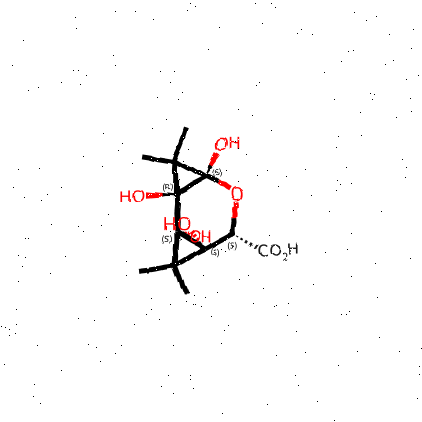 CC1(C)[C@@]2(O)[C@]3(O)C(C)(C)[C@]3(O)[C@@H](C(=O)O)O[C@@]12O